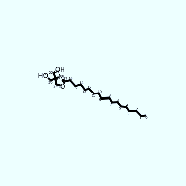 CCCCCCCCC=CCCCCCCCC1=NC(CO)(CO)CO1